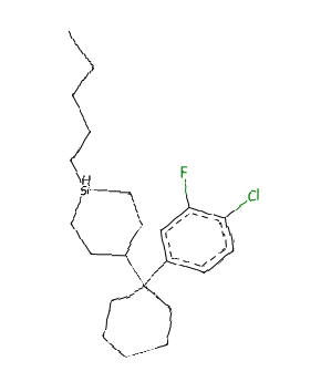 CCCCC[SiH]1CCC(C2(c3ccc(Cl)c(F)c3)CCCCC2)CC1